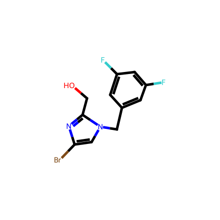 OCc1nc(Br)cn1Cc1cc(F)cc(F)c1